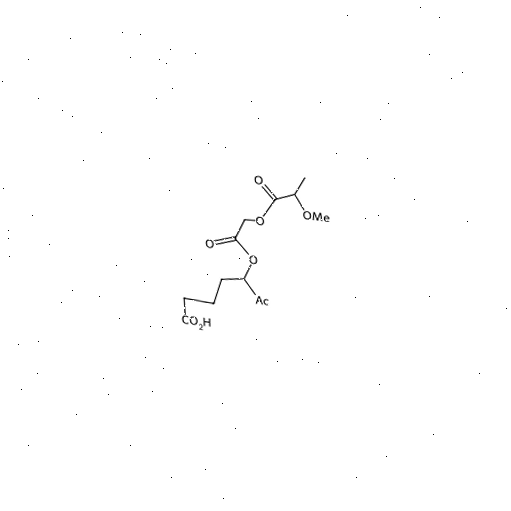 COC(C)C(=O)OCC(=O)OC(CCCC(=O)O)C(C)=O